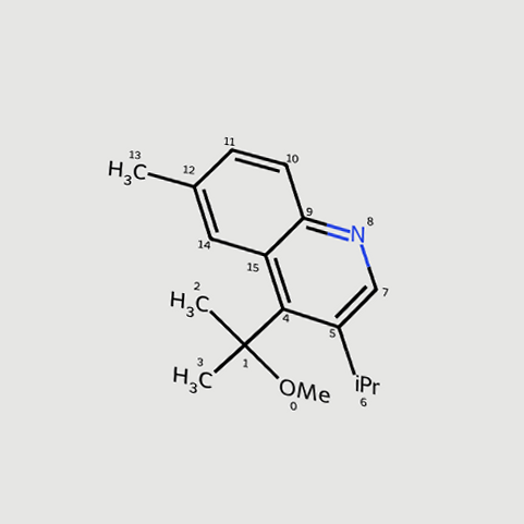 COC(C)(C)c1c(C(C)C)cnc2ccc(C)cc12